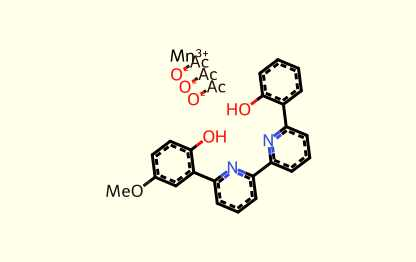 CC(=O)[O-].CC(=O)[O-].CC(=O)[O-].COc1ccc(O)c(-c2cccc(-c3cccc(-c4ccccc4O)n3)n2)c1.[Mn+3]